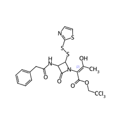 C/C(O)=C(\C(=O)OCC(Cl)(Cl)Cl)N1C(=O)C(NC(=O)Cc2ccccc2)C1SSc1nccs1